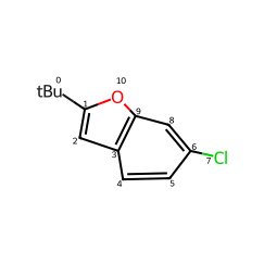 CC(C)(C)c1cc2ccc(Cl)cc2o1